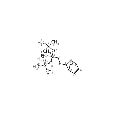 C[Si](C)(C)O[Si](O)(CCC1CC2C=CC1C2)O[Si](C)(C)C